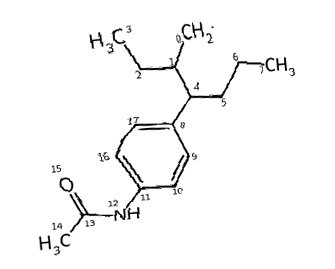 [CH2]C(CC)C(CCC)c1ccc(NC(C)=O)cc1